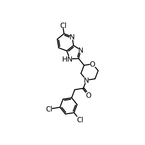 O=C(Cc1cc(Cl)cc(Cl)c1)N1CCOC(c2nc3nc(Cl)ccc3[nH]2)C1